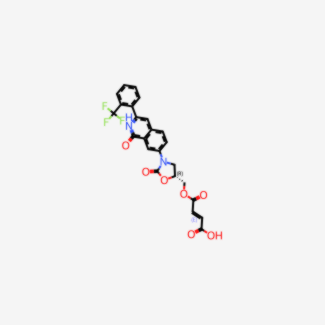 O=C(O)/C=C/C(=O)OC[C@H]1CN(c2ccc3cc(-c4ccccc4C(F)(F)F)[nH]c(=O)c3c2)C(=O)O1